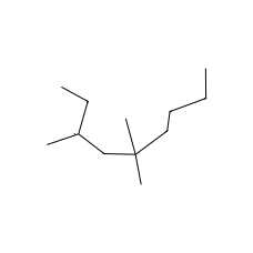 CCCCC(C)(C)C[C](C)CC